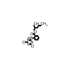 CCCCC(CC)COC(=O)c1ccccc1Nc1nc(Cl)nc(Cl)n1